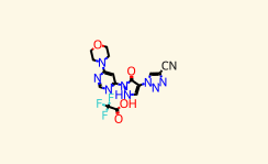 N#Cc1cn(-c2c[nH]n(-c3cc(N4CCOCC4)ncn3)c2=O)nn1.O=C(O)C(F)(F)F